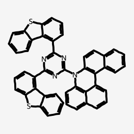 c1ccc2c3c(ccc2c1)N(c1nc(-c2cccc4sc5ccccc5c24)nc(-c2cccc4sc5ccccc5c24)n1)c1cccc2cccc-3c12